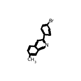 Cc1ccc2cc(-c3ccc(Br)cc3)ncc2c1